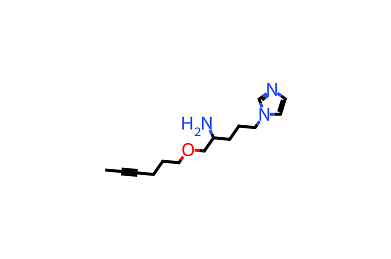 CC#CCCCOCC(N)CCCn1ccnc1